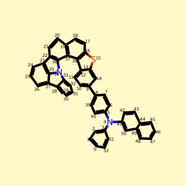 c1ccc(N(c2ccc(-c3ccc4c(c3)sc3ccc5ccc6c7cccc8c9ccccc9n(c87)c6c5c34)cc2)c2ccc3ccccc3c2)cc1